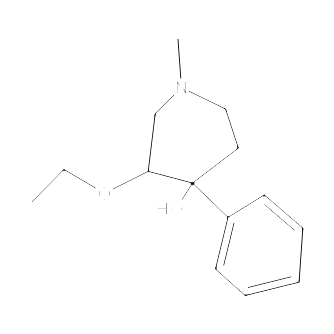 CCOC1CN(C)CCC1(O)c1ccccc1